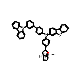 C[C@H]1CC2C[C@H]3CC(c4ccc(N(c5ccc(-c6cccc(-n7c8ccccc8c8ccccc87)c6)cc5)c5ccc6c(c5)sc5ccccc56)cc4)(CC23)C1